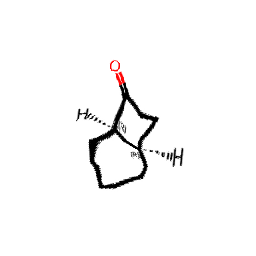 O=C1C[C@H]2CCC[C@@H]12